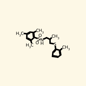 Cc1cc(C)c(S(=O)(=O)NCC(C)CSc2ccccc2C)c(C)c1